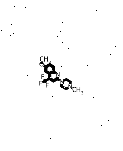 COc1ccc2nc(N3CCN(C)CC3)cc(C(F)(F)F)c2c1